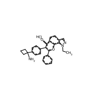 CCn1ncc2ccc3c(=O)c(-c4ccc(C5(N)CCC5)cc4)c(-c4ccccc4)oc3c21.Cl